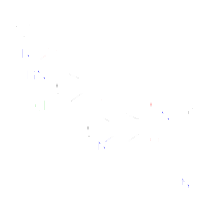 CCNC(=O)c1cc2c(Oc3ccc(NC(=O)NC4CC4)c(Cl)c3)ccnc2cc1OCCCN1CCCC1